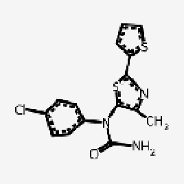 Cc1nc(-c2cccs2)sc1N(C(N)=O)c1ccc(Cl)cc1